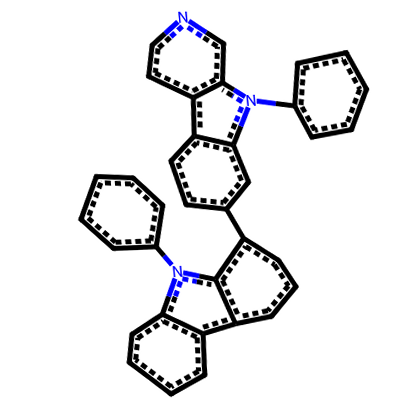 c1ccc(-n2c3cnccc3c3ccc(-c4cccc5c6ccccc6n(-c6ccccc6)c45)cc32)cc1